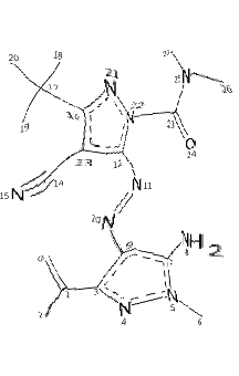 C=C(C)c1nn(C)c(N)c1N=Nc1c(C#N)c(C(C)(C)C)nn1C(=O)N(C)C